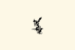 C=CCCCOC[C@H](NC(=O)OC(C)(C)C)C(=O)N1C[C@H](O)C[C@H]1C(=O)NC1(C(=O)O)CC1C=C